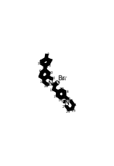 Cc1ccc(-c2ccc3c(c2)CN(C(=O)Cc2ccc(C[N+]4(C)CCCCC4)cc2)CC3)cc1.[Br-]